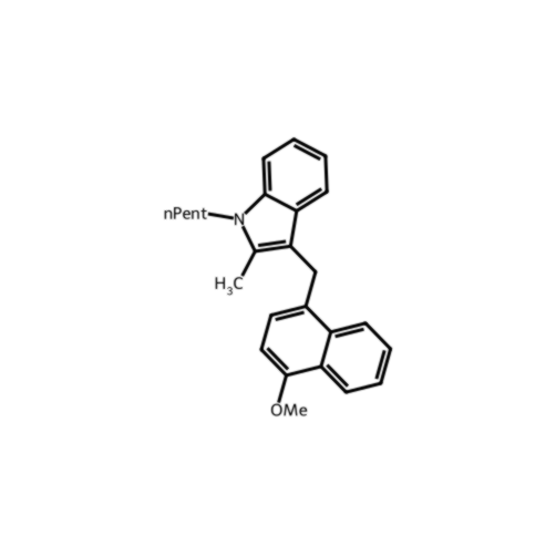 CCCCCn1c(C)c(Cc2ccc(OC)c3ccccc23)c2ccccc21